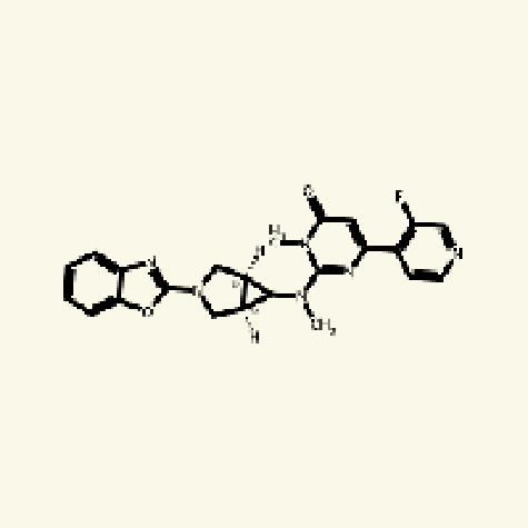 CN(c1nc(-c2ccncc2F)cc(=O)n1C)C1[C@H]2CN(c3nc4ccccc4o3)C[C@@H]12